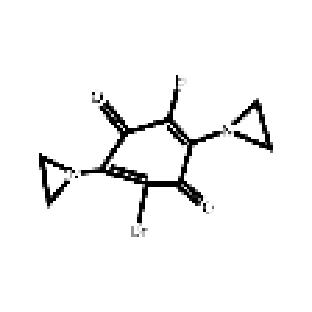 CCC1=C(N2CC2)C(=O)C(Br)=C(N2CC2)C1=O